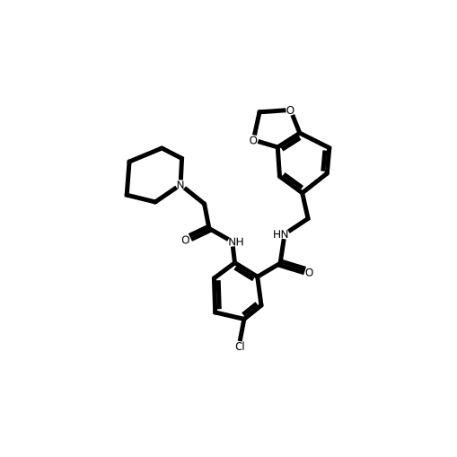 O=C(CN1CCCCC1)Nc1ccc(Cl)cc1C(=O)NCc1ccc2c(c1)OCO2